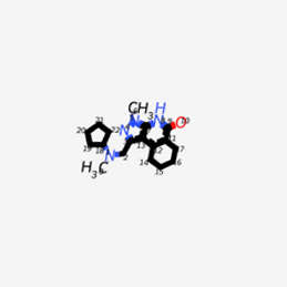 CN(Cc1nn(C)c2[nH]c(=O)c3c(c12)CCCC3)C1CCCC1